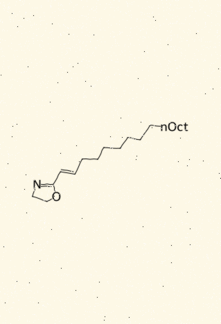 CCCCCCCCCCCCCCCC=CC1=NCCO1